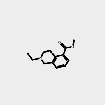 CCN1CCc2c(cccc2C(=O)OC)C1